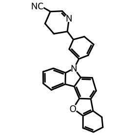 N#CC1C=NC(C2C=C(n3c4ccccc4c4c5oc6c(c5ccc43)CCC=C6)C=CC2)CC1